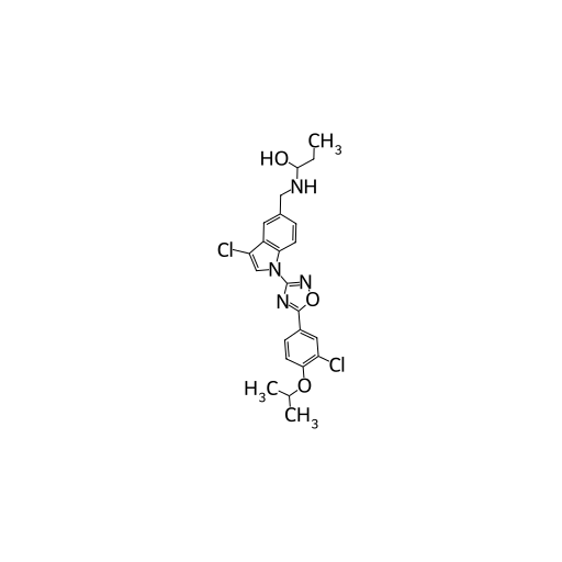 CCC(O)NCc1ccc2c(c1)c(Cl)cn2-c1noc(-c2ccc(OC(C)C)c(Cl)c2)n1